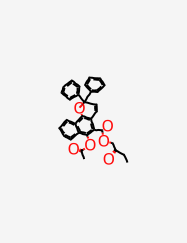 CCC(=O)COC(=O)c1c2c(c3ccccc3c1OC(C)=O)OC(c1ccccc1)(c1ccccc1)C=C2